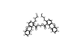 CCCCc1ccc2c(c1C(=O)OCOC(=O)c1c(CCCC)ccc3c1Cc1ccccc1O3)Cc1ccccc1O2